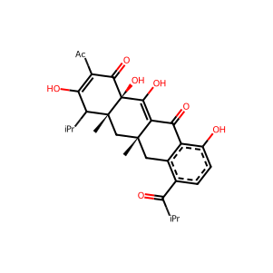 CC(=O)C1=C(O)C(C(C)C)[C@@]2(C)C[C@@]3(C)Cc4c(C(=O)C(C)C)ccc(O)c4C(=O)C3=C(O)[C@@]2(O)C1=O